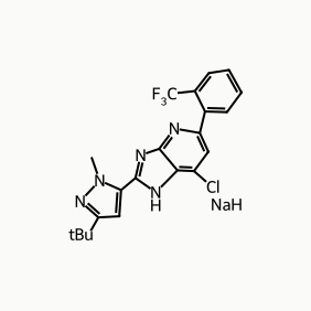 Cn1nc(C(C)(C)C)cc1-c1nc2nc(-c3ccccc3C(F)(F)F)cc(Cl)c2[nH]1.[NaH]